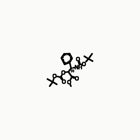 COC(=O)C(OC(=O)OC(C)(C)C)[C@H](NC(=O)OC(C)(C)C)c1ccccc1